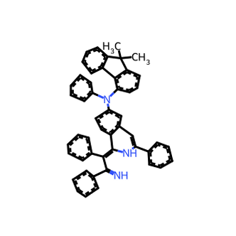 CC1(C)c2ccccc2-c2c(N(c3ccccc3)c3ccc4c(c3)C=C(c3ccccc3)N/C4=C(\C(=N)c3ccccc3)c3ccccc3)cccc21